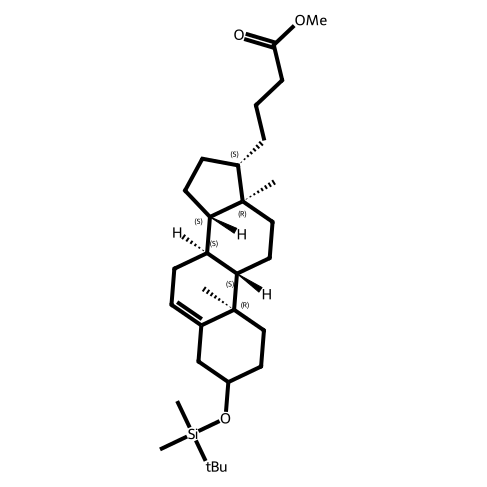 COC(=O)CCC[C@H]1CC[C@H]2[C@@H]3CC=C4CC(O[Si](C)(C)C(C)(C)C)CC[C@]4(C)[C@H]3CC[C@]12C